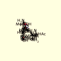 CCN(C(=O)OCc1ccc(NC(=O)[C@H](CCCNC(N)=O)NC(=O)[C@@H](NC(=O)[C@H](CCCCN)NC(C)=O)C(C)C)cc1)[C@H]1CO[C@@H](O[C@H]2[C@H](O[C@H]3C#C/C=C\C#C[C@]4(O)CC(=O)C(NC(=O)OC)=C3/C4=C\CSSC(C)(C)CCN)O[C@H](C)[C@@H](NO[C@H]3C[C@H](O)[C@H](SC(=O)c4c(C)c(I)c(O[C@@H]5O[C@@H](C)[C@H](O)[C@@H](OC)[C@H]5O)c(OC)c4OC)[C@@H](C)O3)[C@@H]2O)C[C@@H]1OC